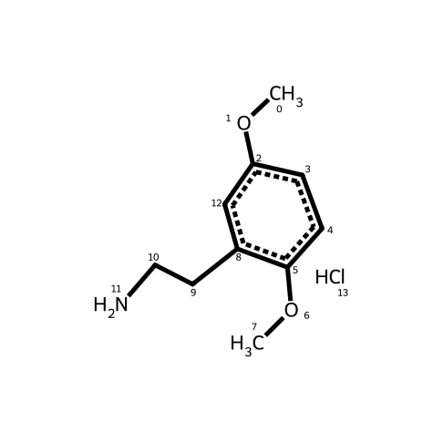 COc1ccc(OC)c(CCN)c1.Cl